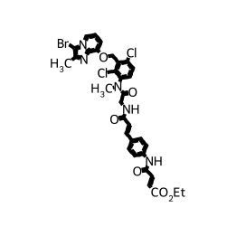 CCOC(=O)C=CC(=O)Nc1ccc(C=CC(=O)NCC(=O)N(C)c2ccc(Cl)c(COc3cccn4c(Br)c(C)nc34)c2Cl)cc1